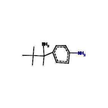 BC(C)(c1ccc(N)cc1)C(C)(C)C